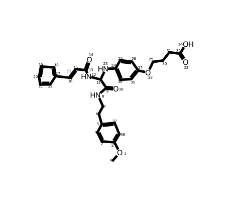 COc1ccc(CCNC(=O)C(NC(=O)/C=C/c2ccccc2)Nc2ccc(OCCCC(=O)O)cc2)cc1